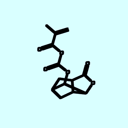 C=C(C)C(=O)OC(=O)OC1C2CC3C(=O)OC1C3C2